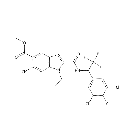 CCOC(=O)c1cc2cc(C(=O)NC(c3cc(Cl)c(Cl)c(Cl)c3)C(F)(F)F)n(CC)c2cc1Cl